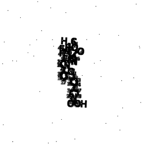 CCOC(=O)c1cnn(-c2cccc(-c3ccccc3OCc3ccc(C4=CCN(C(=O)O)CC4)cc3)n2)c1C(F)(F)C(F)(F)F